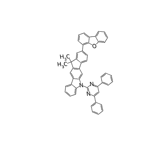 CC1(C)c2cc(-c3cccc4c3oc3ccccc34)ccc2-c2cc3c(cc21)c1ccccc1n3-c1nc(-c2ccccc2)cc(-c2ccccc2)n1